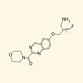 NC/C(=C\F)COc1ccc2nc(C(=O)N3CCOCC3)ncc2c1